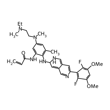 C=CC(=O)Nc1cc(N(C)CCN(C)CC)cc(C)c1NC1C=c2cnc(-c3c(F)c(OC)cc(OC)c3F)cc2=CN1